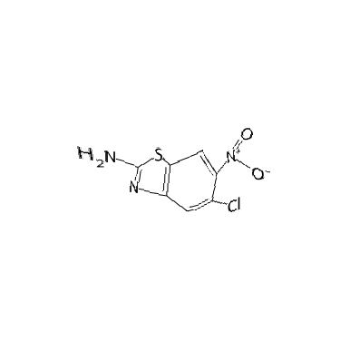 Nc1nc2cc(Cl)c([N+](=O)[O-])cc2s1